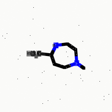 CN1CC[N]C(C(=O)O)CC1